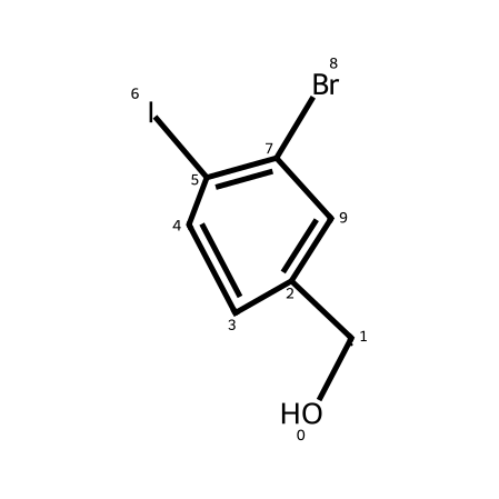 O[CH]c1ccc(I)c(Br)c1